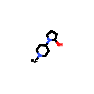 CN1CCC(N2CCCC2O)CC1